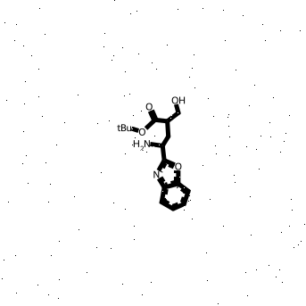 CC(C)(C)OC(=O)C(CO)CC(N)c1nc2ccccc2o1